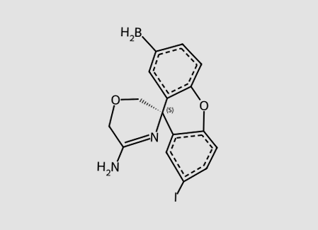 Bc1ccc2c(c1)[C@@]1(COCC(N)=N1)c1cc(I)ccc1O2